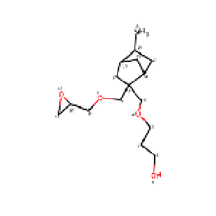 OCCCOCC1(COCC2CO2)CC2CC1CC2[SiH3]